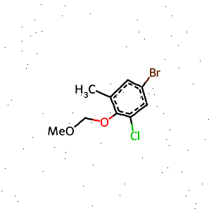 COCOc1c(C)cc(Br)cc1Cl